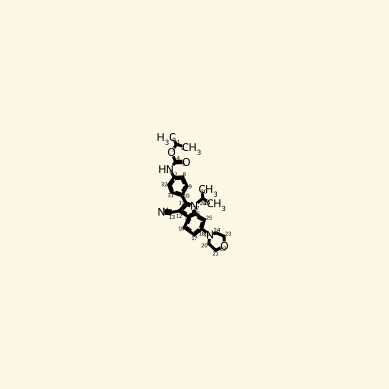 CC(C)OC(=O)Nc1ccc(-c2c(C#N)c3ccc(N4CCOCC4)cc3n2C(C)C)cc1